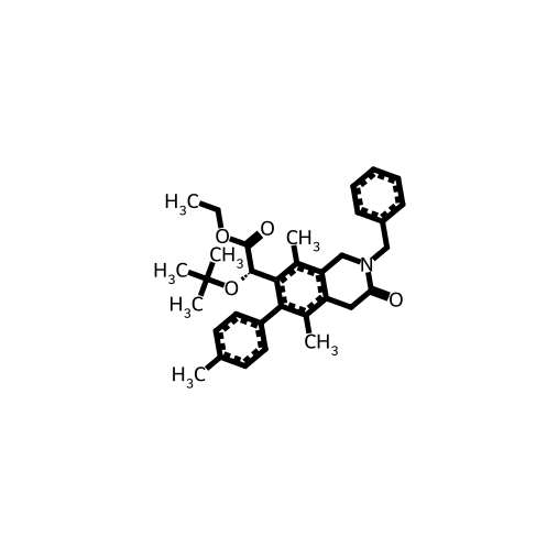 CCOC(=O)[C@@H](OC(C)(C)C)c1c(C)c2c(c(C)c1-c1ccc(C)cc1)CC(=O)N(Cc1ccccc1)C2